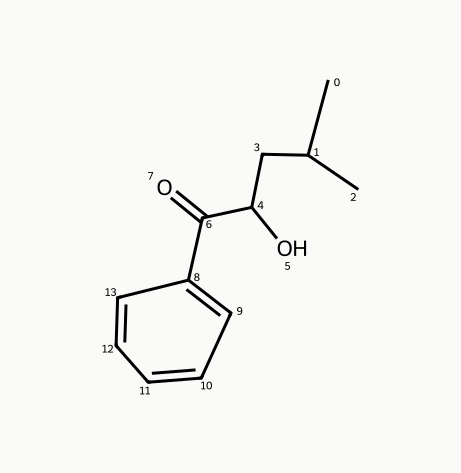 CC(C)CC(O)C(=O)c1ccccc1